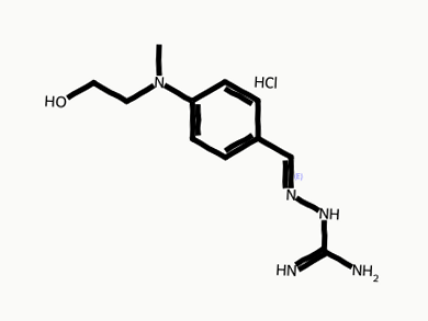 CN(CCO)c1ccc(/C=N/NC(=N)N)cc1.Cl